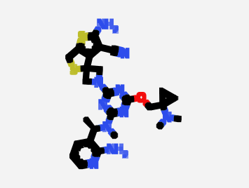 C[C@H](c1cccnc1N)N(C)c1nc(OCC2(N(C)C)CC2)nc(N2CC3(C2)SCc2sc(N)c(C#N)c23)n1